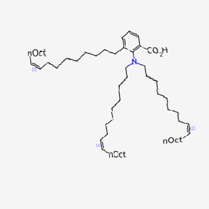 CCCCCCCC/C=C\CCCCCCCCc1cccc(C(=O)O)c1N(CCCCCCCC/C=C\CCCCCCCC)CCCCCCCC/C=C\CCCCCCCC